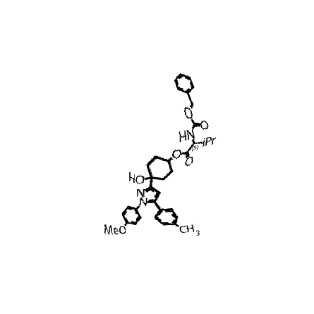 COc1ccc(-n2nc(C3(O)CCC(OC(=O)[C@@H](NC(=O)OCc4ccccc4)C(C)C)CC3)cc2-c2ccc(C)cc2)cc1